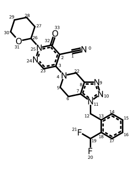 N#Cc1c(N2CCc3c(nnn3Cc3ccccc3C(F)F)C2)cnn(C2CCCCO2)c1=O